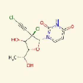 C[C@@H](O)[C@H]1O[C@@H](n2ccc(=O)[nH]c2=O)[C@@](Cl)(C#CCl)C1O